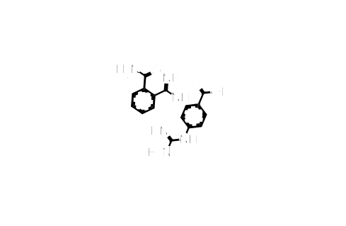 N=C(N)Nc1ccc(C(=O)O)cc1.N=C(N)c1ccccc1C(N)=O